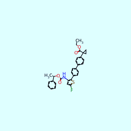 CCOC(=O)C1(c2ccc(-c3ccc(-c4sc(F)cc4NC(=O)O[C@H](C)c4ccccc4)cc3)cc2)CC1